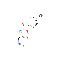 N#Cc1ccc(S(=O)(=O)NC(=O)CN)cc1